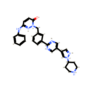 O=c1ccc(Nc2ccccc2)nn1Cc1cccc(-c2ncc(-c3cnn(C4CCNCC4)c3)cn2)c1